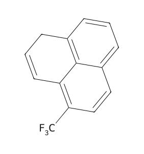 FC(F)(F)c1ccc2cccc3c2c1C=CC3